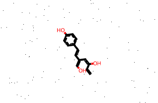 C=C\C(O)=C/C(=C\O)/C=C/c1ccc(O)cc1